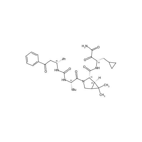 CC(C)[C@@H](CC(=O)c1ccccc1)NC(=O)N[C@H](C(=O)N1CC2[C@@H]([C@H]1C(=O)N[C@@H](CC1CC1)C(=O)C(N)=O)C2(C)C)C(C)(C)C